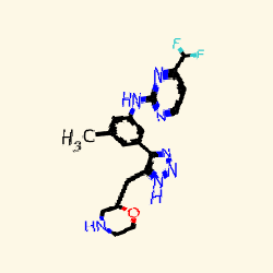 Cc1cc(Nc2nccc(C(F)F)n2)cc(-c2nn[nH]c2CC2CNCCO2)c1